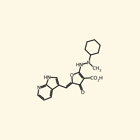 CN(NC1=C(C(=O)O)C(=O)C(=Cc2c[nH]c3ncccc23)O1)C1CCCCC1